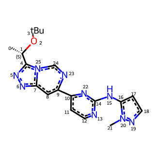 C[C@H](OC(C)(C)C)c1nnc2cc(-c3ccnc(Nc4ccnn4C)n3)ncn12